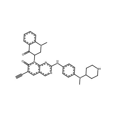 C#Cc1cc2cnc(Nc3ccc(N(C)C4CCNCC4)cc3)nc2n(C2CN(C)c3ccccc3C2=O)c1=O